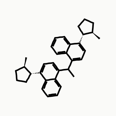 CC(c1ccc([C@@H]2CCC[C@H]2C)c2ccccc12)c1ccc([C@@H]2CCC[C@H]2C)c2ccccc12